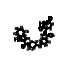 O=C1CCC(N2Cc3cc(C=C4CCN(C(=O)c5cc6ccccc6[nH]5)CC4)ccc3C2=O)C(=O)N1